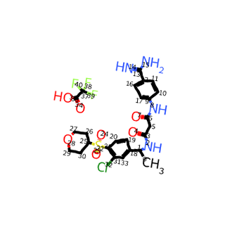 CC(NC(=O)CC(=O)Nc1ccc(C(=N)N)cc1)c1ccc(S(=O)(=O)C2CCOCC2)c(Cl)c1.O=C(O)C(F)(F)F